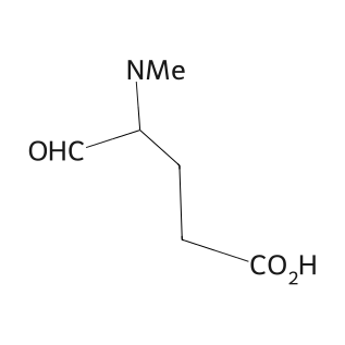 CNC(C=O)CCC(=O)O